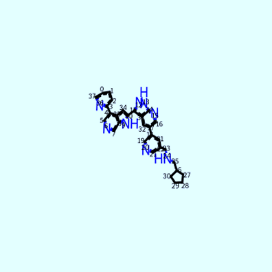 c1ccc(-c2cncc3[nH]c(-c4n[nH]c5ncc(-c6cncc(CNCC7CCCC7)c6)cc45)cc23)nc1